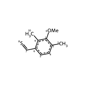 COc1c(C)ccc(C=S)c1C